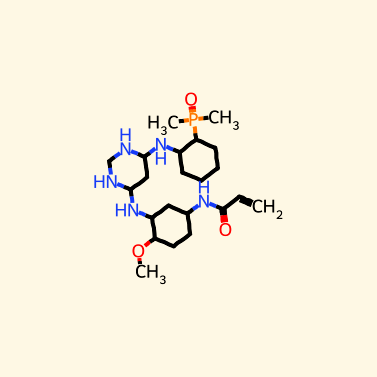 C=CC(=O)NC1CCC(OC)C(NC2CC(NC3CCCCC3P(C)(C)=O)NCN2)C1